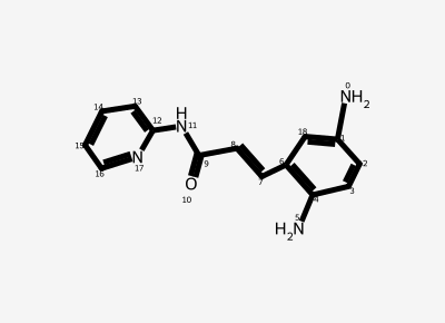 Nc1ccc(N)c(/C=C/C(=O)Nc2ccccn2)c1